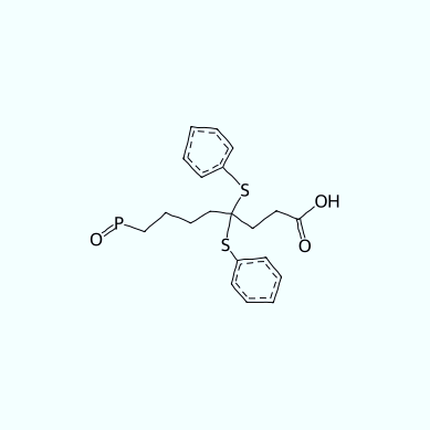 O=PCCCCC(CCC(=O)O)(Sc1ccccc1)Sc1ccccc1